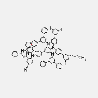 CCCCc1cc(I)cc(-c2ccc3c(c2)N(c2cc(-c4ccccc4)cc(-c4ccccc4)c2)c2cc(-c4ccc5c(c4)c4ccccc4n5-c4ccc(C#N)cc4-c4nc(-c5ccccc5)nc(-c5ccccc5)n4)cc4c2B3c2ccc(-c3cc(I)cc(I)c3)cc2N4c2cc(-c3ccccc3)cc(-c3ccccc3)c2)c1